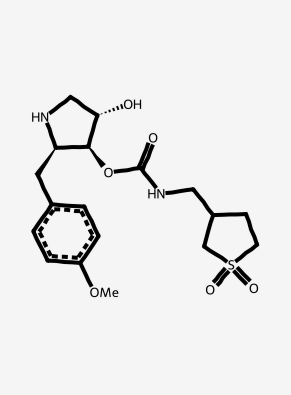 COc1ccc(C[C@H]2NC[C@H](O)[C@H]2OC(=O)NCC2CCS(=O)(=O)C2)cc1